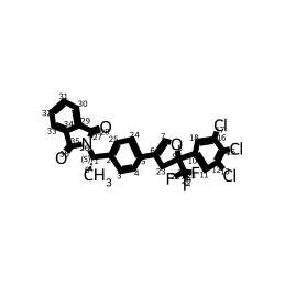 C[C@@H](c1ccc(C2=COC(c3cc(Cl)c(Cl)c(Cl)c3)(C(F)(F)F)C2)cc1)N1C(=O)c2ccccc2C1=O